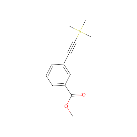 COC(=O)c1cccc(C#CS(C)(C)C)c1